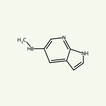 CBc1cnc2[nH]ccc2c1